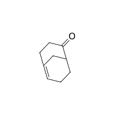 O=C1CCC2=CCCC1C2